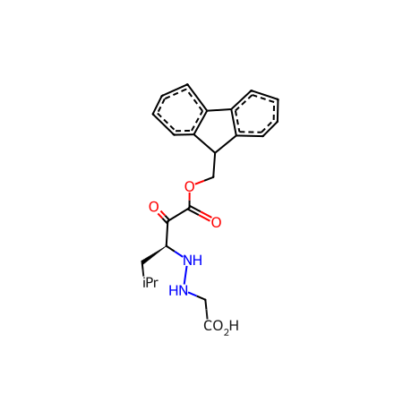 CC(C)C[C@H](NNCC(=O)O)C(=O)C(=O)OCC1c2ccccc2-c2ccccc21